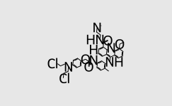 COc1cccc2c(Nc3cc(NC(=O)Oc4ccc(N(CCCl)CCCl)cc4)ccc3C)c3cccc(C(=O)NCCN(C)C)c3nc12